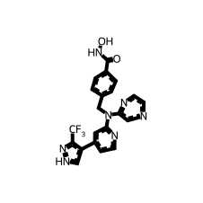 O=C(NO)c1ccc(CN(c2cnccn2)c2cc(-c3c[nH]nc3C(F)(F)F)ccn2)cc1